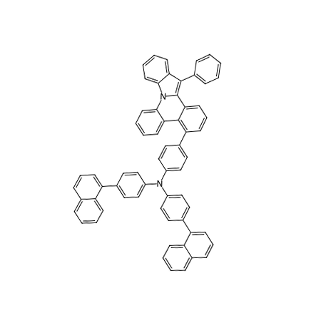 c1ccc(-c2c3ccccc3n3c4ccccc4c4c(-c5ccc(N(c6ccc(-c7cccc8ccccc78)cc6)c6ccc(-c7cccc8ccccc78)cc6)cc5)cccc4c23)cc1